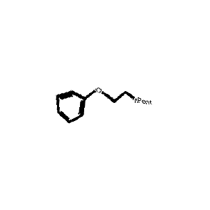 C[CH]CCCCCOc1ccccc1